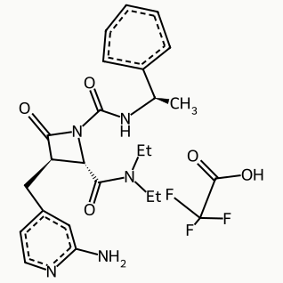 CCN(CC)C(=O)[C@@H]1[C@@H](Cc2ccnc(N)c2)C(=O)N1C(=O)N[C@H](C)c1ccccc1.O=C(O)C(F)(F)F